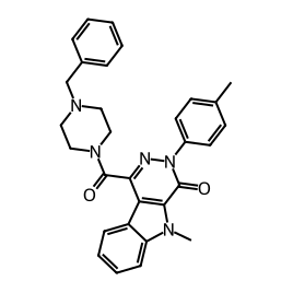 Cc1ccc(-n2nc(C(=O)N3CCN(Cc4ccccc4)CC3)c3c4ccccc4n(C)c3c2=O)cc1